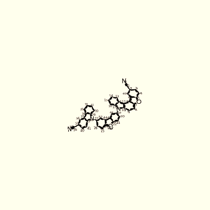 N#Cc1ccc2oc3ccc4c(c5ccccc5n4-c4ccc5oc6ccc(-n7c8ccccc8c8cc(C#N)ccc87)cc6c5c4)c3c2c1